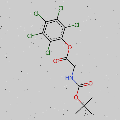 CC(C)(C)OC(=O)NCC(=O)Oc1c(Cl)c(Cl)c(Cl)c(Cl)c1Cl